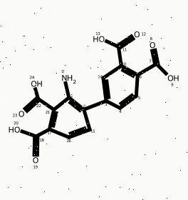 Nc1c(-c2ccc(C(=O)O)c(C(=O)O)c2)ccc(C(=O)O)c1C(=O)O